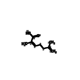 C=C(C)CCC=C(C)C(=O)O